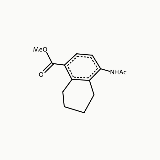 COC(=O)c1ccc(NC(C)=O)c2c1CCCC2